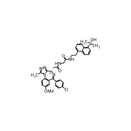 COc1ccc2c(c1)C(c1ccc(Cl)cc1)=N[C@@H](CC(=O)NCC(=O)NCCc1cccc3c([Si](C)(C)O)cccc13)c1nnc(C)n1-2